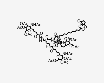 CC(=O)NC1C(CCCC(=O)C(=O)NCCN(CCNC(=O)C(=O)CCCC2OC(COC(C)=O)C(OC(C)=O)C(OC(C)=O)C2NC(C)=O)C(=O)CC[C@H](NC(=O)C(=O)CCCC2OC(COC(C)=O)C(OC(C)=O)C(OC(C)=O)C2NC(C)=O)C(=O)NCCCCCCCCCCC(=O)ON2C(=O)CCC2=O)OC(COC(C)=O)C(OC(C)=O)C1OC(C)=O